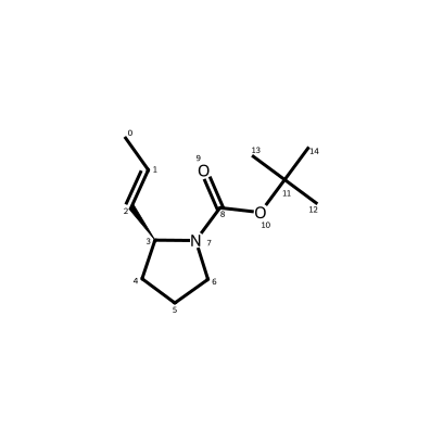 CC=C[C@@H]1CCCN1C(=O)OC(C)(C)C